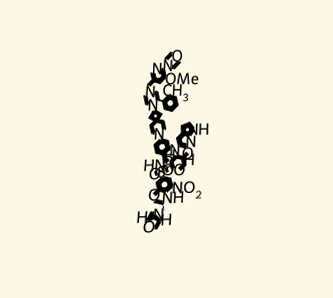 COc1cc(CN2CCN(C3CC4(CCN(c5ccc(C(=O)NS(=O)(=O)c6cc7c(c([N+](=O)[O-])c6)N[C@H](CN6C[C@H]8C[C@@H]6CO8)CO7)c(N6c7cc8cc[nH]c8nc7O[C@H]7COCC[C@@H]76)c5)CC4)C3)[C@H](c3ccccc3C)C2)cnc1N1CCOCC1